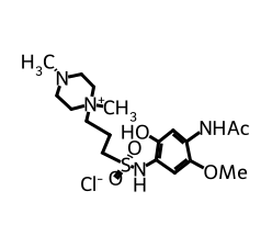 COc1cc(NS(=O)(=O)CCC[N+]2(C)CCN(C)CC2)c(O)cc1NC(C)=O.[Cl-]